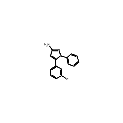 CCc1cccc(-c2cc(N)nn2-c2ccccc2)c1